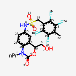 CCCN1C(=O)OC(CO)c2cc(NS(=O)(=O)Cc3c(F)c(F)c(C)c(F)c3F)ccc21